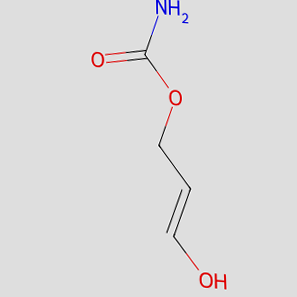 NC(=O)OC/C=C/O